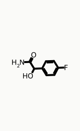 NC(=O)C(O)c1ccc(F)cc1